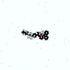 Cc1nc(NC(c2ccccc2)(c2ccccc2)c2ccccc2)ccc1-c1ccc(NC(=O)Nc2cc(C(C)(C)C)on2)nc1